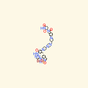 COc1cc(N2CCC(N3CCN(CC4CCN(c5ccc6c(c5)CN(C5CCC(=O)NC5=O)C6=O)CC4)CC3)CC2)c(C)cc1Nc1ncc(Br)c(Nc2cccc3ccn(S(C)(=O)=O)c23)n1